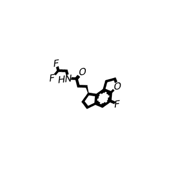 O=C(CC[C@@H]1CCc2cc(F)c3c(c21)CCO3)NCC(F)F